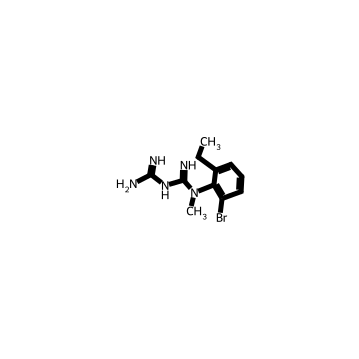 CCc1cccc(Br)c1N(C)C(=N)NC(=N)N